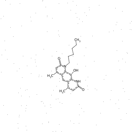 CCCCCCn1c(=O)cc(C)c2cc3c(C)cc(=O)[nH]c3c(O)c21